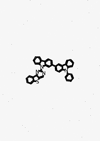 c1ccc(-n2c3ccccc3c3cc(-c4ccc5c6ccccc6n(-c6ncc7sc8ccccc8c7n6)c5c4)ccc32)cc1